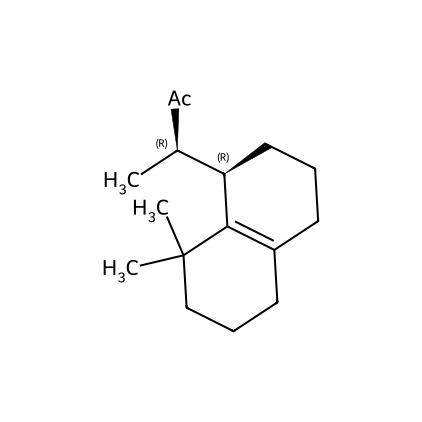 CC(=O)[C@H](C)[C@H]1CCCC2=C1C(C)(C)CCC2